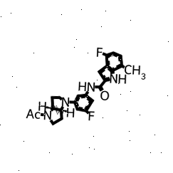 CC(=O)N1CC[C@@H]2[C@H]1CCN2c1cc(F)cc(NC(=O)c2cc3c(F)ccc(C)c3[nH]2)c1